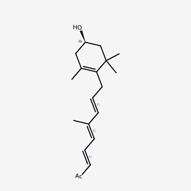 CC(=O)/C=C/C=C(C)/C=C/CC1=C(C)C[C@@H](O)CC1(C)C